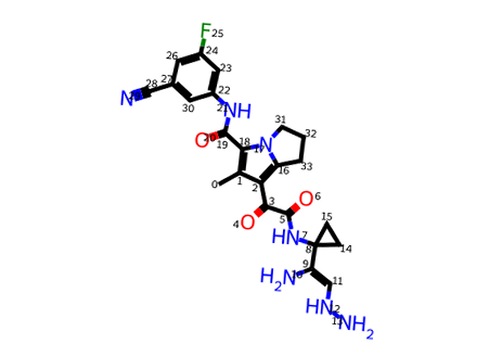 Cc1c(C(=O)C(=O)NC2(/C(N)=C/NN)CC2)c2n(c1C(=O)Nc1cc(F)cc(C#N)c1)CCC2